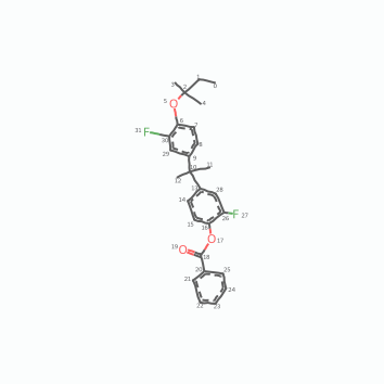 CCC(C)(C)Oc1ccc(C(C)(C)c2ccc(OC(=O)c3ccccc3)c(F)c2)cc1F